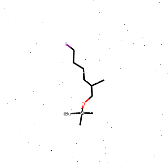 CC(CCCCI)CO[Si](C)(C)C(C)(C)C